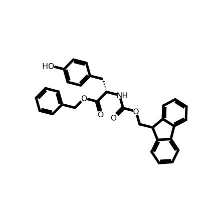 O=C(N[C@@H](Cc1ccc(O)cc1)C(=O)OCc1ccccc1)OCC1c2ccccc2-c2ccccc21